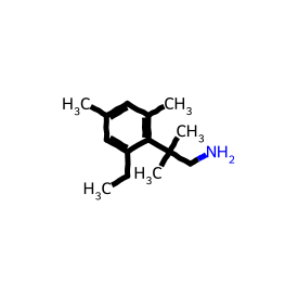 CCc1cc(C)cc(C)c1C(C)(C)CN